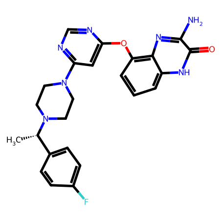 C[C@@H](c1ccc(F)cc1)N1CCN(c2cc(Oc3cccc4[nH]c(=O)c(N)nc34)ncn2)CC1